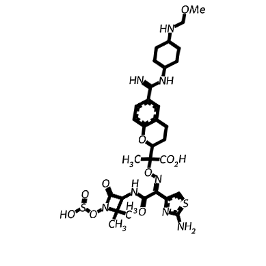 COCNC1CCC(NC(=N)c2ccc3c(c2)CCC(C(C)(O/N=C(\C(=O)NC2C(=O)N(OS(=O)O)C2(C)C)c2csc(N)n2)C(=O)O)O3)CC1